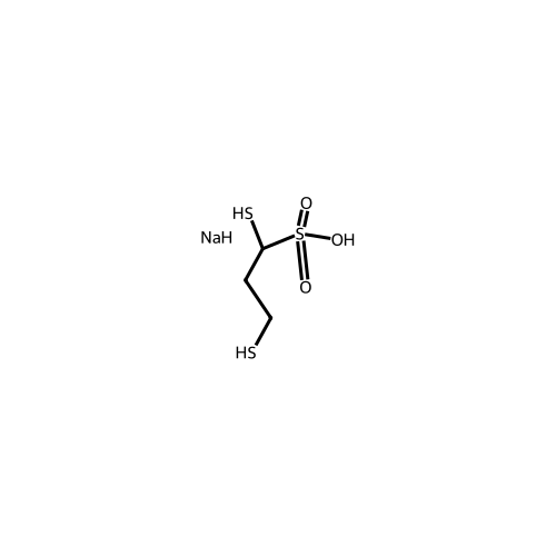 O=S(=O)(O)C(S)CCS.[NaH]